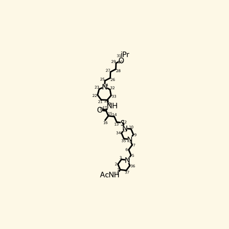 CC(=O)NC1CCN(CCCN2CCN(SCCC(C)C(=O)NC3CCCN(CCCCCOC(C)C)CC3)CC2)CC1